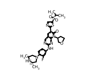 CC(C)S(=O)(=O)c1cnc(-c2cc3cnc(Nc4ccc(N5C[C@@H](C)N[C@@H](C)C5)c(F)c4)nc3n(C3CCOC3)c2=O)s1